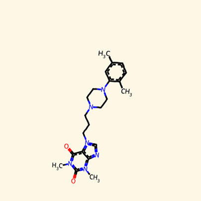 Cc1ccc(C)c(N2CCN(CCCn3cnc4c3c(=O)n(C)c(=O)n4C)CC2)c1